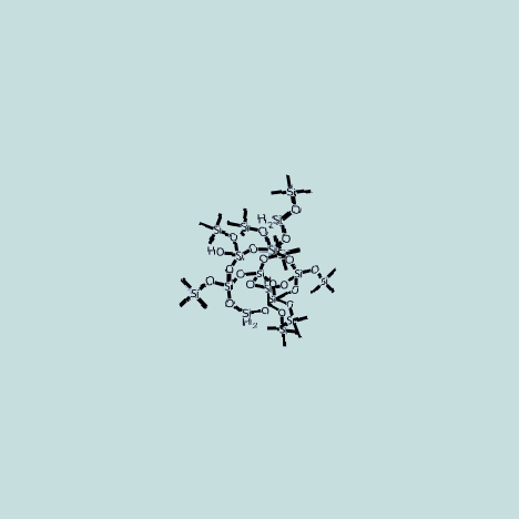 C[Si](C)(C)OC[SiH]1O[Si]2(O[Si](C)(C)C)O[Si](O[SiH2]O[Si](C)(C)C)(O[Si](C)(C)C)O[Si](O)(O[Si](C)(C)C)O[Si]3(O[Si](C)(C)C)O[SiH2]O[Si](O[Si](C)(C)C)(O2)O[Si](O[Si](C)(C)C)(O1)O3